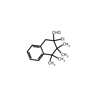 CCC1(C=O)Cc2ccccc2C(C)(C)C1(C)C